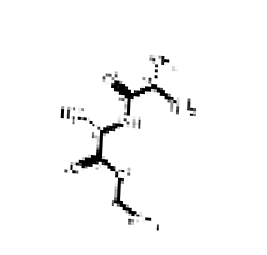 CCOC(=O)[C@H](C)NC(=O)[C@H](C)N